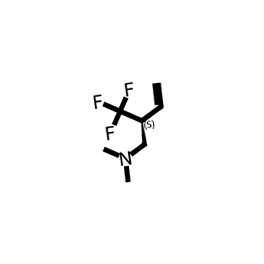 C=C[C@@H](CN(C)C)C(F)(F)F